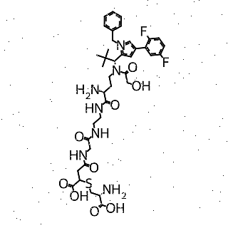 CC(C)(C)[C@H](c1cc(-c2cc(F)ccc2F)cn1Cc1ccccc1)N(CC[C@H](N)C(=O)NCCNC(=O)CNC(=O)CC(SC[C@H](N)C(=O)O)C(=O)O)C(=O)CO